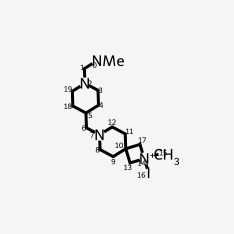 CNCN1CCC(CN2CCC3(CC2)C[N+](C)(I)C3)CC1